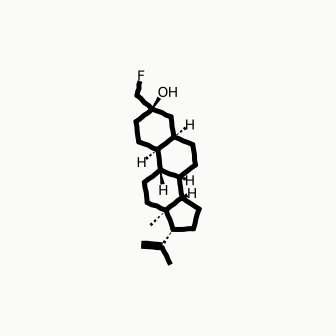 C=C(C)[C@H]1CC[C@H]2[C@@H]3CC[C@@H]4C[C@@](O)(CF)CC[C@@H]4[C@H]3CC[C@]12C